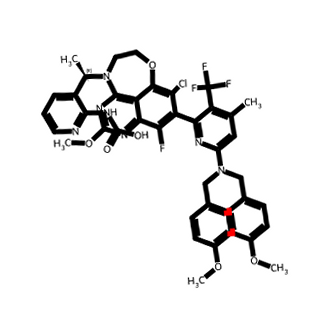 COc1ccc(CN(Cc2ccc(OC)cc2)c2cc(C)c(C(F)(F)F)c(-c3c(Cl)c4c5c(nc(OC)nc5c3F)N([C@H](C)c3cccnc3NC(=O)O)CCO4)n2)cc1